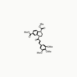 COC(=O)c1ccc2c(c1)N(C(=O)C=Cc1cc(OC)c(OC)c(OC)c1)CCN2C(=O)OC(C)(C)C